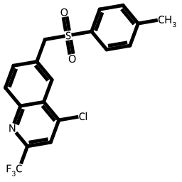 Cc1ccc(S(=O)(=O)Cc2ccc3nc(C(F)(F)F)cc(Cl)c3c2)cc1